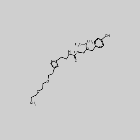 CN(C)[C@H](CNC(=O)NCCc1cn(CCOCCOCCN)nn1)Cc1ccc(O)cc1